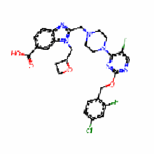 O=C(O)c1ccc2nc(CN3CCN(c4nc(OCc5ccc(Cl)cc5F)ncc4F)CC3)n(CC3CCO3)c2c1